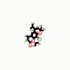 C/C(=C(\F)C=O)c1cc2c(c(Cl)c1OC(C)C)OC(C)(C)C=C2C(C)C